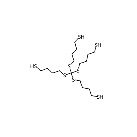 SCCCCSC(SCCCCS)(SCCCCS)SCCCCS